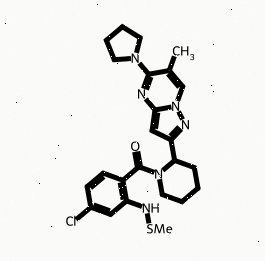 CSNc1cc(Cl)ccc1C(=O)N1CCCCC1c1cc2nc(N3CCCC3)c(C)cn2n1